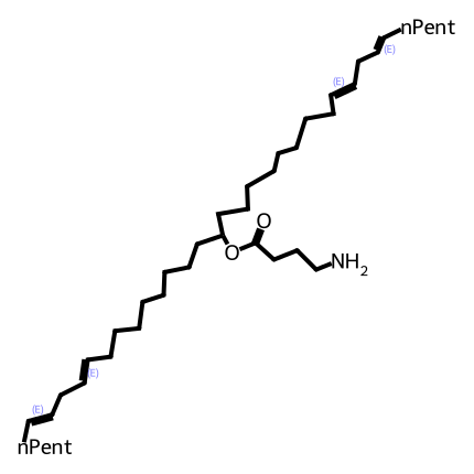 CCCCC/C=C/C/C=C/CCCCCCCCC(CCCCCCCC/C=C/C/C=C/CCCCC)OC(=O)CCCN